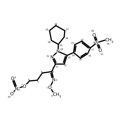 CON=C(CCCO[N+](=O)[O-])c1cc(-c2ccc(S(C)(=O)=O)cc2)n(C2CCCCC2)n1